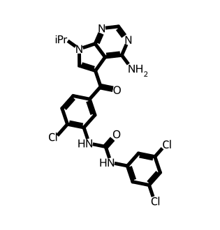 CC(C)n1cc(C(=O)c2ccc(Cl)c(NC(=O)Nc3cc(Cl)cc(Cl)c3)c2)c2c(N)ncnc21